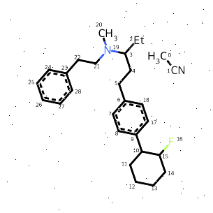 CC#N.CCC(CCc1ccc(C2CCCCC2F)cc1)N(C)CCc1ccccc1